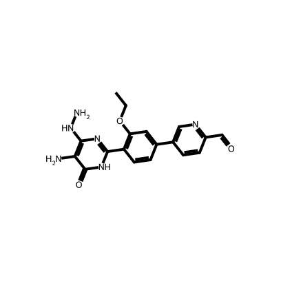 CCOc1cc(-c2ccc(C=O)nc2)ccc1-c1nc(NN)c(N)c(=O)[nH]1